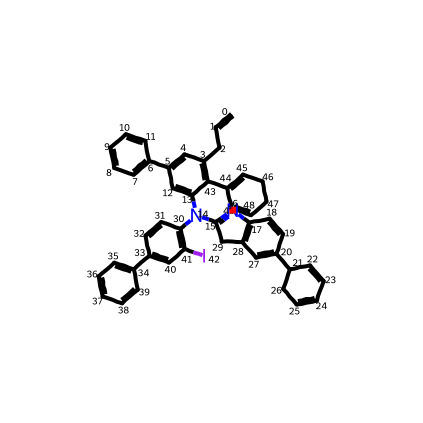 C=CCc1cc(-c2ccccc2)cc(N(C2=Nc3ccc(C4C=CC=CC4)cc3C2)c2ccc(-c3ccccc3)cc2I)c1C1=CCCC=C1